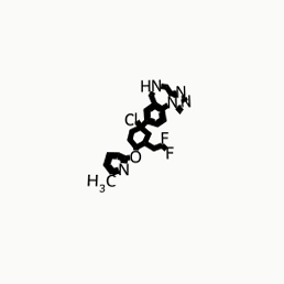 Cc1cccc(OC2CCC(Cl)(c3ccc4c(c3)CNCc3nncn3-4)CC2CC(F)F)n1